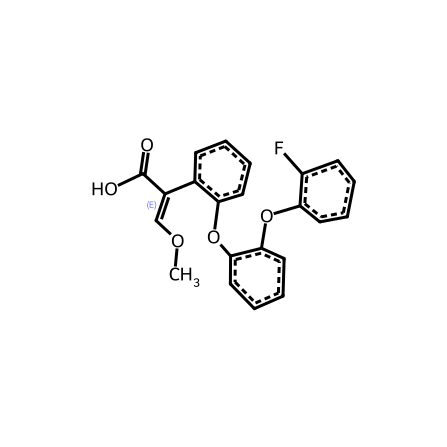 CO/C=C(/C(=O)O)c1ccccc1Oc1ccccc1Oc1ccccc1F